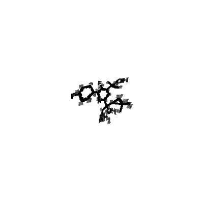 CC(C)(O)c1cc(C(O)(CN)C2CC2(C)C)nc(-c2ccc(F)cc2)c1F